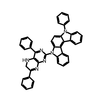 c1ccc(C2=Nc3nc(-n4c5ccccc5c5c6c7ccccc7n(-c7ccccc7)c6ccc54)nc(-c4ccccc4)c3NC2)cc1